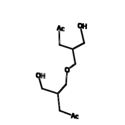 CC(=O)CC(CO)COCC(CO)CC(C)=O